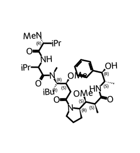 CC[C@@H](C)[C@H]([C@H](CC(=O)N1CCC[C@@H]1[C@@H](OC)[C@H](C)C(=O)N[C@@H](C)[C@H](O)c1ccccc1)OC)N(C)C(=O)C(NC(=O)[C@H](NC)C(C)C)C(C)C